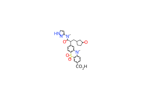 CN(C(=O)C(CC1CCC(=O)C1)c1ccc2c(c1)N(C)c1ccc(C(=O)O)cc1S2(=O)=O)c1cc[nH]n1